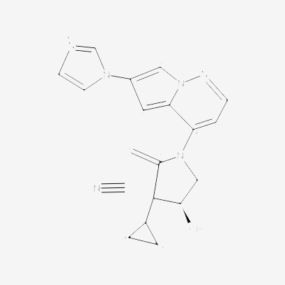 C[C@@H]1CN(c2ccnn3cc(-n4ccnc4)cc23)C(=O)[C@]1(C#N)C1CC1